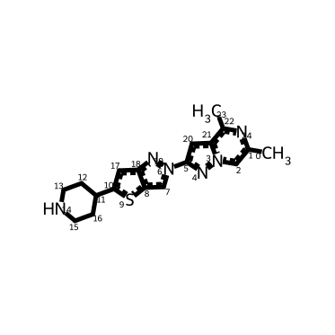 Cc1cn2nc(-n3cc4sc(C5CCNCC5)cc4n3)cc2c(C)n1